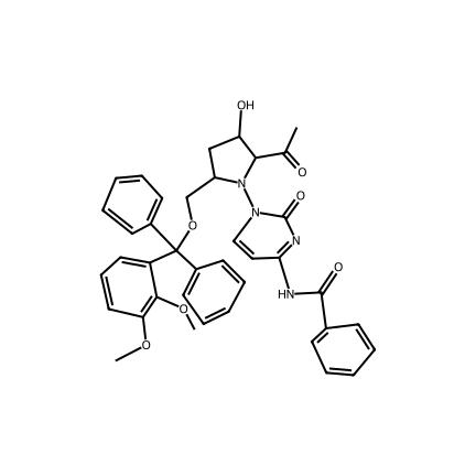 COc1cccc(C(OCC2CC(O)C(C(C)=O)N2n2ccc(NC(=O)c3ccccc3)nc2=O)(c2ccccc2)c2ccccc2)c1OC